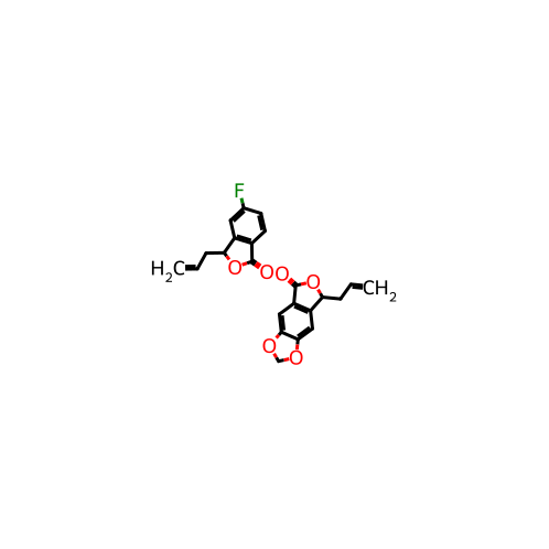 C=CCC1OC(=O)c2cc3c(cc21)OCO3.C=CCC1OC(=O)c2ccc(F)cc21